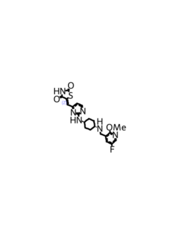 COc1ncc(F)cc1CN[C@H]1CC[C@H](Nc2nccc(/C=C3\SC(=O)NC3=O)n2)CC1